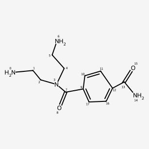 NCCN(CCN)C(=O)c1ccc(C(N)=O)cc1